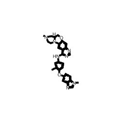 Cc1cc(Nc2ncnc3cc4c(cc23)N2CCN(C)C[C@H]2CO4)ccc1Oc1ccc2c(c1)ncn2C